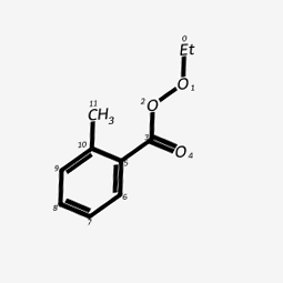 CCOOC(=O)c1ccccc1C